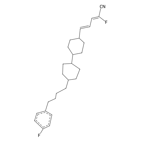 N#CC(F)=CC=CC1CCC(C2CCC(CCCCc3ccc(F)cc3)CC2)CC1